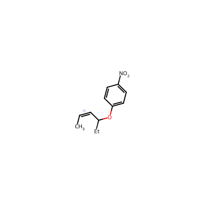 C/C=C\C(CC)Oc1ccc([N+](=O)[O-])cc1